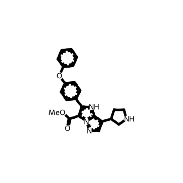 COC(=O)c1c(-c2ccc(Oc3ccccc3)cc2)[nH]c2c(C3CCNC3)cnn12